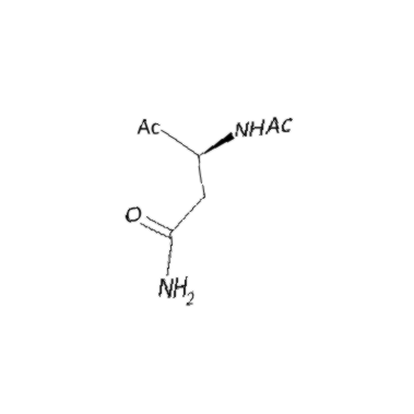 CC(=O)N[C@@H](CC(N)=O)C(C)=O